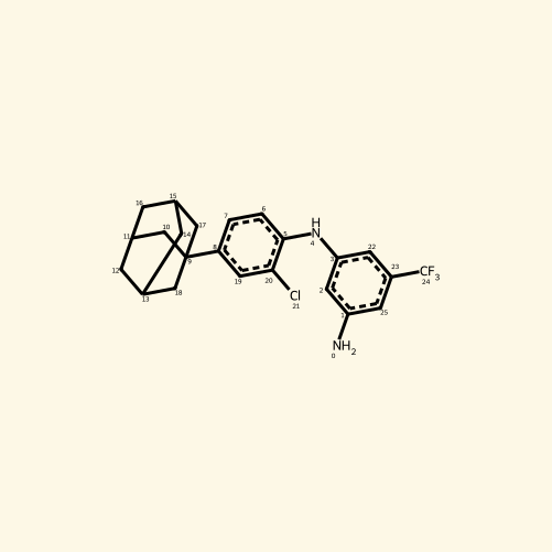 Nc1cc(Nc2ccc(C34CC5CC(CC(C5)C3)C4)cc2Cl)cc(C(F)(F)F)c1